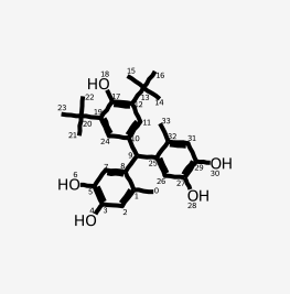 Cc1cc(O)c(O)cc1C(c1cc(C(C)(C)C)c(O)c(C(C)(C)C)c1)c1cc(O)c(O)cc1C